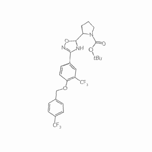 CC(C)(C)OC(=O)N1CCCC1C1NC(c2ccc(OCc3ccc(C(F)(F)F)cc3)c(C(F)(F)F)c2)=NO1